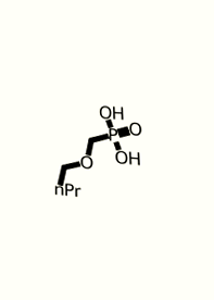 CCCCOCP(=O)(O)O